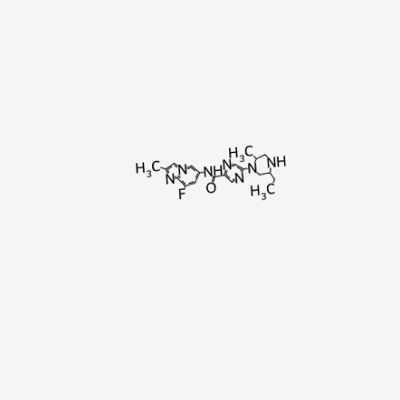 CCC1CN(c2cnc(C(=O)Nc3cc(F)c4nc(C)cn4c3)cn2)C(C)CN1